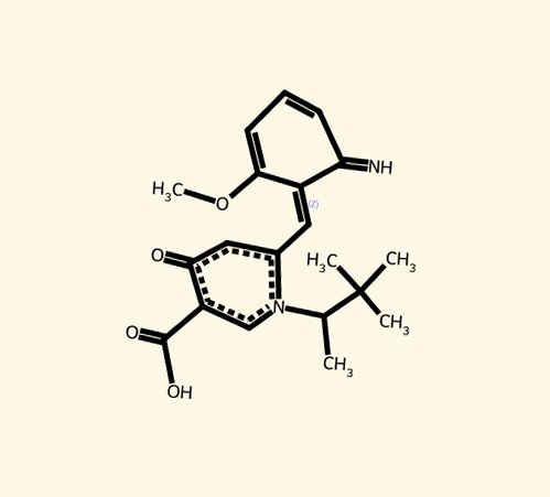 COC1=CC=CC(=N)/C1=C/c1cc(=O)c(C(=O)O)cn1C(C)C(C)(C)C